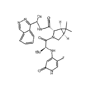 CC(C)(C)[C@H](Nc1cc(=O)[nH]cc1F)C(=O)N1C[C@H]2[C@@H]([C@H]1C(=O)NC(C#N)c1nncc3ccccc13)C2(C)C